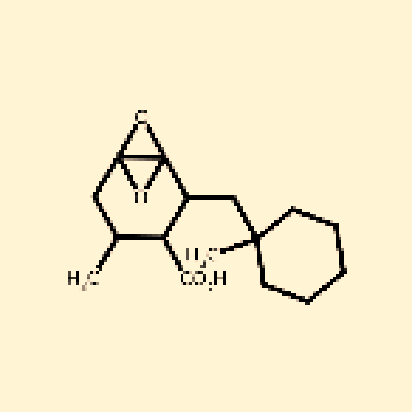 CC1CC23OC2(O3)C(CC2(C)CCCCC2)C1C(=O)O